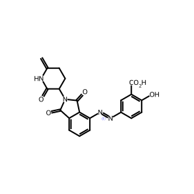 C=C1CCC(N2C(=O)c3cccc(/N=N/c4ccc(O)c(C(=O)O)c4)c3C2=O)C(=O)N1